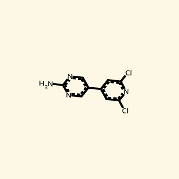 Nc1ncc(-c2cc(Cl)nc(Cl)c2)cn1